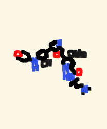 COc1cc(C(=O)NC(C)(C)CCN(C)C)ncc1-c1cc2nccc(-c3ccc(NC4CCOCC4)c(C#N)c3)c2o1